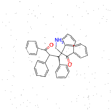 NCC(C(=O)c1ccccc1)(c1ccccc1)C(c1ccccc1)C(C(=O)c1ccccc1)c1ccccc1